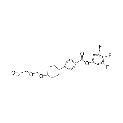 O=C(Oc1cc(F)c(F)c(F)c1)c1ccc(C2CCC(OCOCC3CO3)CC2)cc1